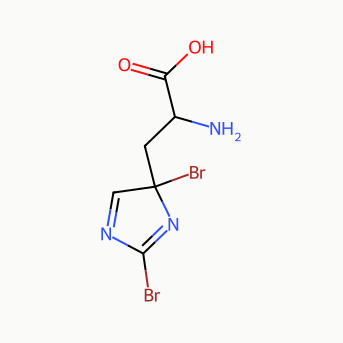 NC(CC1(Br)C=NC(Br)=N1)C(=O)O